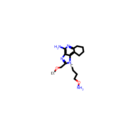 CCOCc1nc2c(N)nc3c(c2n1CCCCON)CCCC3